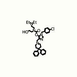 CCN(CC)CCN(CCO)C(=O)Oc1c(CN2CCC(c3ccccc3)(c3ccccc3)CC2)ncn1Cc1ccc(Cl)cc1